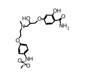 CN(CCOc1ccc(NS(C)(=O)=O)cc1)CC(O)COc1ccc(C(N)=O)c(O)c1